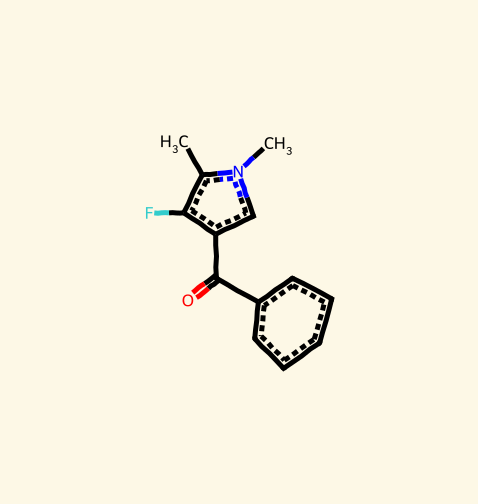 Cc1c(F)c(C(=O)c2ccccc2)cn1C